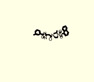 Cc1cccc(-c2nc(CC(=O)N3CCN(S(=O)(=O)c4cccc5ccccc45)C(C)C3)no2)c1